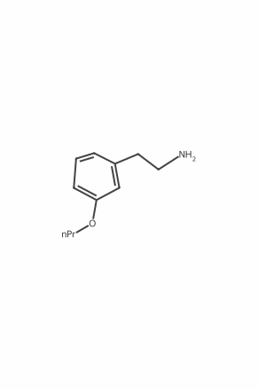 CCCOc1cccc(CCN)c1